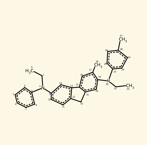 CCN(c1ccccc1)c1ccc2c(c1)-c1cc(C)c(N(CC)c3ccc(C)cc3)cc1C2